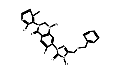 CCn1c(COCc2ccccc2)nn(-c2cc3c(cc2F)C(=O)N(c2c(C)ccnc2Cl)CN3C(C)C)c1=O